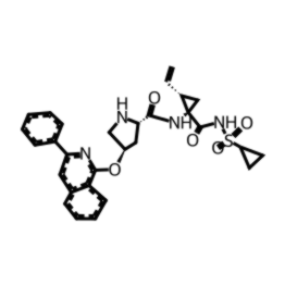 C=C[C@@H]1C[C@]1(NC(=O)[C@@H]1C[C@@H](Oc2nc(-c3ccccc3)cc3ccccc23)CN1)C(=O)NS(=O)(=O)C1CC1